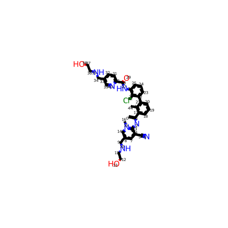 C=C(/N=c1/c(C#N)cc(CNCCO)cn1C)c1cccc(-c2cccc(NC(=O)c3ccc(CNCCO)cn3)c2Cl)c1C